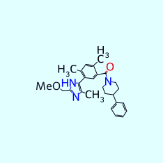 COCc1nc(C)c(-c2cc(C(=O)N3CCC(c4ccccc4)CC3)c(C)cc2C)[nH]1